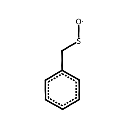 [O]SCc1ccccc1